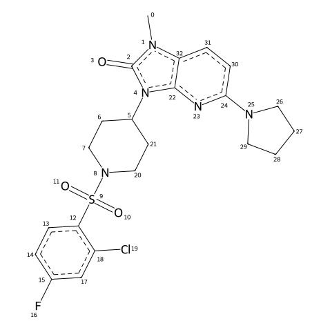 Cn1c(=O)n(C2CCN(S(=O)(=O)c3ccc(F)cc3Cl)CC2)c2nc(N3CCCC3)ccc21